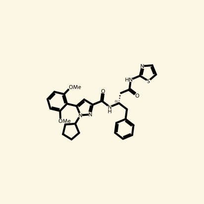 COc1cccc(OC)c1-c1cc(C(=O)N[C@H](CC(=O)Nc2nccs2)Cc2ccccc2)nn1C1CCCC1